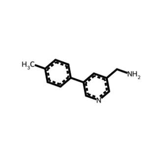 Cc1ccc(-c2cncc(CN)c2)cc1